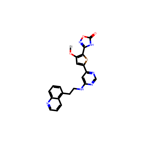 CCOc1cc(-c2cc(NCCc3cccc4ncccc34)ncn2)sc1-c1noc(=O)[nH]1